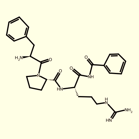 N=C(N)NCCC[C@H](NC(=O)[C@@H]1CCCN1C(=O)[C@@H](N)Cc1ccccc1)C(=O)NC(=O)c1ccccc1